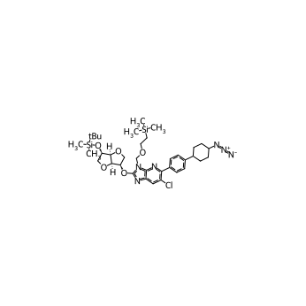 CC(C)(C)[Si](C)(C)O[C@@H]1CO[C@H]2[C@@H]1OC[C@H]2Oc1nc2cc(Cl)c(-c3ccc(C4CCC(N=[N+]=[N-])CC4)cc3)nc2n1COCC[Si](C)(C)C